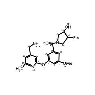 COc1cc(Oc2cc(CN)cc(C)n2)cc(C(=O)N2CC(O)C(F)C2)c1